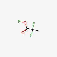 CC(F)(F)C(=O)OF